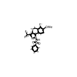 COc1ccc2c(c1F)CSc1c(C(F)F)nn(NS(=O)(=O)c3ccccc3)c1-2